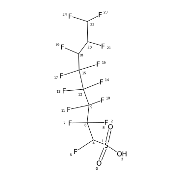 O=S(=O)(O)C(F)C(F)(F)C(F)(F)C(F)(F)C(F)(F)C(F)C(F)C(F)F